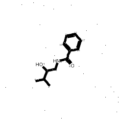 CC(C)C(O)CNC(=O)c1ccccc1